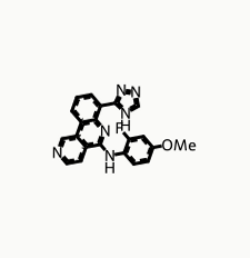 COc1ccc(Nc2nc3c(-c4nnc[nH]4)cccc3c3cnccc23)c(F)c1